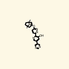 C[C@]12CC[C@](C)(C[C@@H](Oc3ccc(-c4ncc(-c5cncnc5)cc4O)nn3)C1)N2